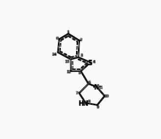 c1ccc2sc(C3CNCC[N]3)cc2c1